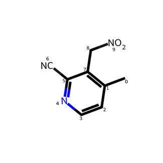 Cc1ccnc(C#N)c1C[N+](=O)[O-]